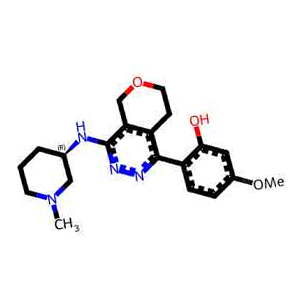 COc1ccc(-c2nnc(N[C@@H]3CCCN(C)C3)c3c2CCOC3)c(O)c1